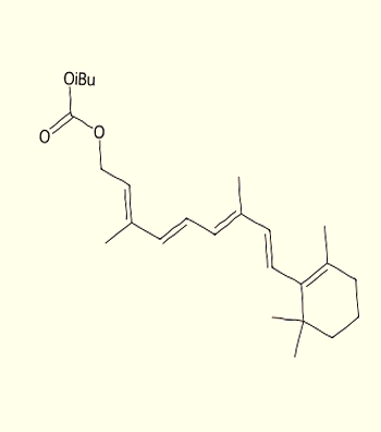 CC(C=CC1=C(C)CCCC1(C)C)=CC=CC(C)=CCOC(=O)OCC(C)C